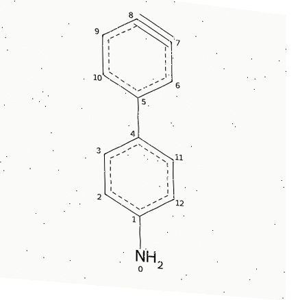 Nc1ccc(-c2cc#ccc2)cc1